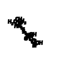 CC(C)(C)OC(=O)NCCSSCCNC(=O)C(Cc1ccc(O)c(Br)c1)=NO